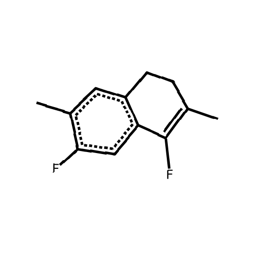 CC1=C(F)c2cc(F)c(C)cc2CC1